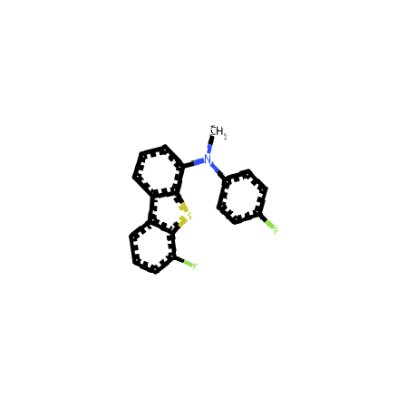 CN(c1ccc(F)cc1)c1cccc2c1sc1c(F)cccc12